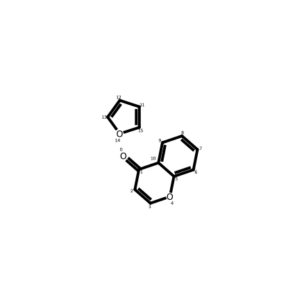 O=c1ccoc2ccccc12.c1ccoc1